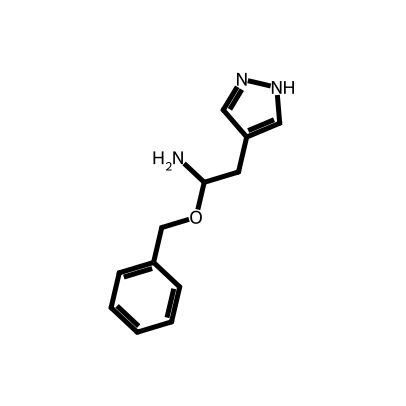 NC(Cc1cn[nH]c1)OCc1ccccc1